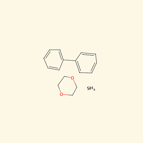 C1COCCO1.[SiH4].c1ccc(-c2ccccc2)cc1